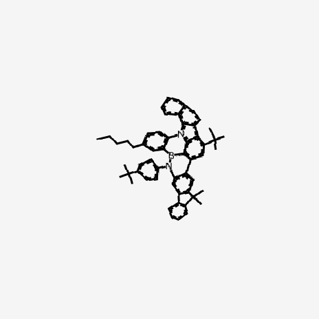 CCCCCc1ccc2c(c1)B1c3c(cc(C(C)(C)C)c4c5ccc6ccccc6c5n-2c34)-c2cc3c(cc2N1c1ccc(C(C)(C)C)cc1)-c1ccccc1C3(C)C